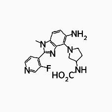 Cn1c(-c2ccncc2F)nc2c(N3CCC(NC(=O)O)C3)c(N)ccc21